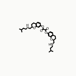 CC(C)CCNCC1CCc2ccc(OC(=O)C(=O)Oc3ccc4c(c3)OC(CNCCC(C)C)CC4)cc2O1